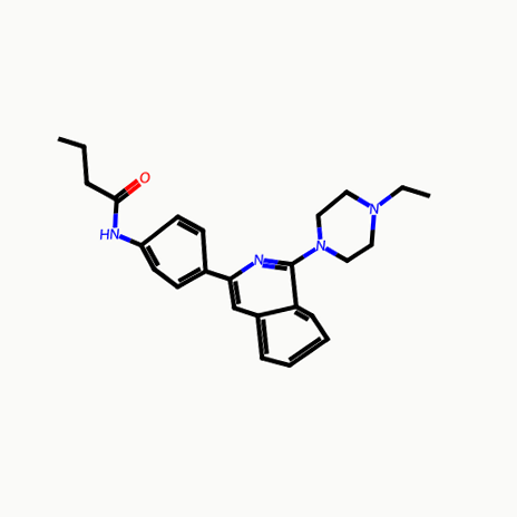 CCCC(=O)Nc1ccc(-c2cc3ccccc3c(N3CCN(CC)CC3)n2)cc1